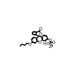 CCCCOc1ccc2c(c1)Oc1cc(OP(=O)(O)OC)ccc1C21OC(=O)c2ccccc21